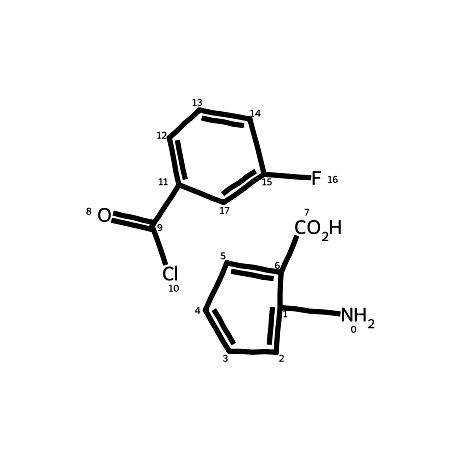 Nc1ccccc1C(=O)O.O=C(Cl)c1cccc(F)c1